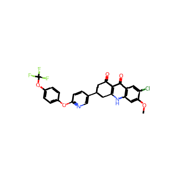 COc1cc2[nH]c3c(c(=O)c2cc1Cl)C(=O)CC(c1ccc(Oc2ccc(OC(F)(F)F)cc2)nc1)C3